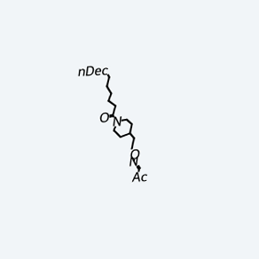 CCCCCCCCCCCCCCCC(=O)N1CCC(CCO/N=C/C(C)=O)CC1